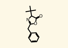 CC(C)(C)C1N=C(Cc2ccccc2)OC1=O